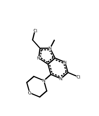 Cn1c(CCl)nc2c(N3CCOCC3)nc(Cl)nc21